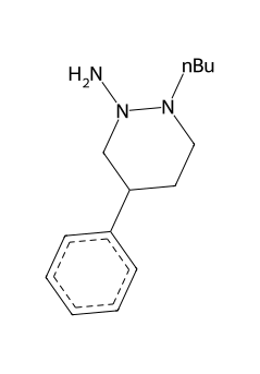 CCCCN1CCC(c2ccccc2)CN1N